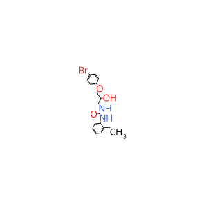 CCc1ccccc1NC(=O)NCC(O)COc1ccc(Br)cc1